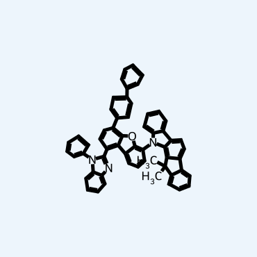 CC1(C)c2ccccc2-c2ccc3c4ccccc4n(-c4cccc5c4oc4c(-c6ccc(-c7ccccc7)cc6)ccc(-c6nc7ccccc7n6-c6ccccc6)c45)c3c21